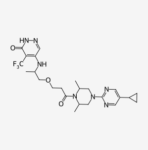 CC(COCCC(=O)N1C(C)CN(c2ncc(C3CC3)cn2)CC1C)Nc1cn[nH]c(=O)c1C(F)(F)F